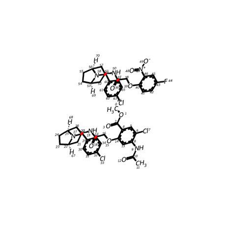 COC(=O)c1cc(Cl)c(NC(C)=O)cc1OCC(=O)N[C@H]1C[C@H]2CC[C@@H](C1)N2Cc1ccc(Cl)cc1.O=C(COc1ccc(F)cc1[N+](=O)[O-])N[C@H]1C[C@H]2CC[C@@H](C1)N2Cc1ccc(Cl)cc1